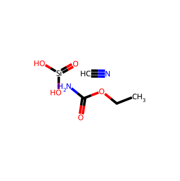 C#N.CCOC(N)=O.O=[Si](O)O